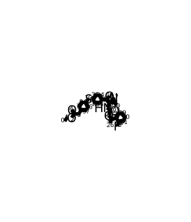 CCOC(=O)Cc1ccc(Sc2ccc(-c3onc(C)c3NC(=O)OC(C)c3ccccc3F)cc2)cc1